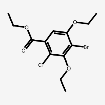 CCOC(=O)c1cc(OCC)c(Br)c(OCC)c1Cl